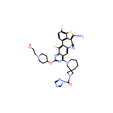 COCCN1CCC(Oc2nc(N3CCCCC4(CN(C(=O)n5cncn5)C4)C3)c3cc(Cl)c(-c4ccc(F)c5sc(N)c(C#N)c45)c(F)c3n2)CC1